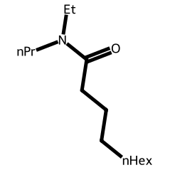 CCCCCCCCCC(=O)N(CC)CCC